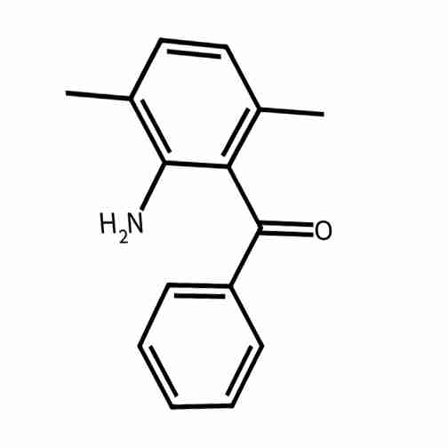 Cc1ccc(C)c(C(=O)c2ccccc2)c1N